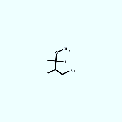 [Li][C](C)(O[SiH3])C(C)CC(C)(C)C